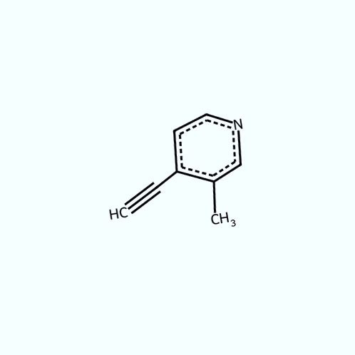 C#Cc1ccncc1C